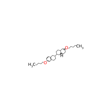 CCCCCOc1ccc2c(c1)CCC(C1CCC3C[C@H](OCCCCC)CC[C@@H]3C1)C2